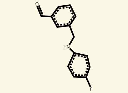 O=Cc1cccc(CNc2ccc(F)cc2)c1